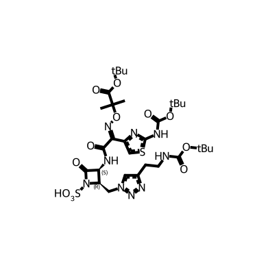 CC(C)(C)OC(=O)NCCc1cn(C[C@@H]2[C@H](NC(=O)C(=NOC(C)(C)C(=O)OC(C)(C)C)c3csc(NC(=O)OC(C)(C)C)n3)C(=O)N2S(=O)(=O)O)nn1